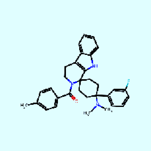 Cc1ccc(C(=O)N2CCc3c([nH]c4ccccc34)C23CCC(c2cccc(F)c2)(N(C)C)CC3)cc1